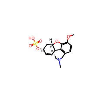 COc1ccc2c3c1O[C@H]1C[C@@H](OS(=O)(=O)O)C=C[C@]31CCN(C)C2